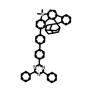 C[Si]1(C)c2ccc(-c3ccc(-c4ccc(-c5nc(-c6ccccc6)nc(-c6ccccc6)n5)cc4)cc3)cc2-c2c1ccc1c2C2(c3ccccc3-1)C1CC3CC(C1)CC2C3